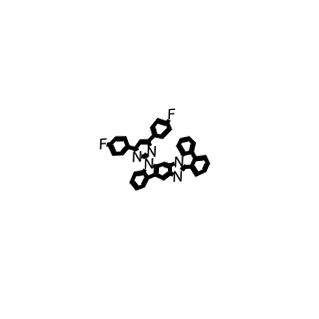 Fc1ccc(-c2cc(-c3ccc(F)cc3)nc(-n3c4ccccc4c4cc5nc6c7ccccc7c7ccccc7n6c5cc43)n2)cc1